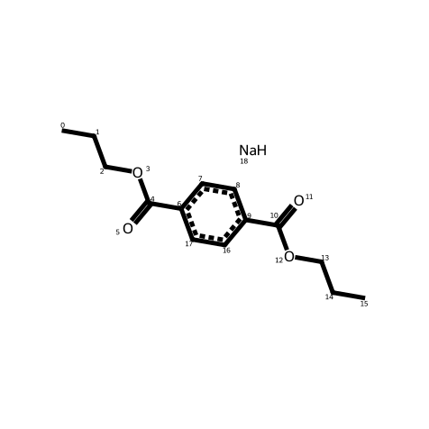 CCCOC(=O)c1ccc(C(=O)OCCC)cc1.[NaH]